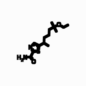 CCOC(C)(C)CCCC(C)c1cnc(C(N)=O)s1